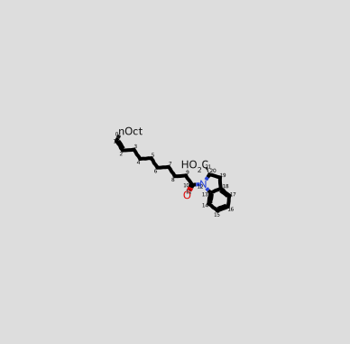 CCCCCCCC/C=C\CCCCCCCC(=O)N1c2ccccc2C[C@H]1C(=O)O